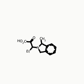 CCC(C(=O)C(=O)O)N1Cc2ccccc2C1C